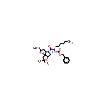 C=CCCCC[C@H](NC(=O)OCc1ccccc1)C(=O)N1CC2OC(C)(C)C[C@@H]2C1CC(=O)OC